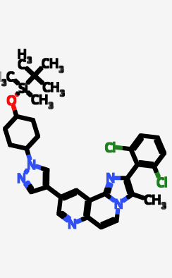 Cc1c(-c2c(Cl)cccc2Cl)nc2c3cc(-c4cnn(C5CCC(O[Si](C)(C)C(C)(C)C)CC5)c4)cnc3ccn12